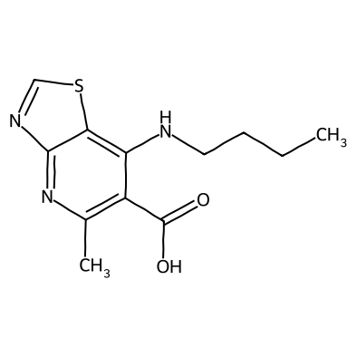 CCCCNc1c(C(=O)O)c(C)nc2ncsc12